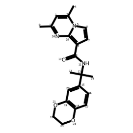 Cc1cc(C)n2ccc(C(=O)NC(C)(C)c3ccc4c(c3)OCCO4)c2n1